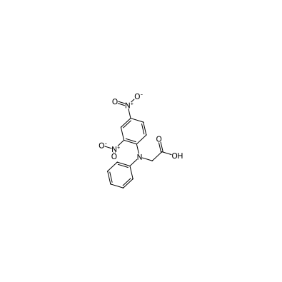 O=C(O)CN(c1ccccc1)c1ccc([N+](=O)[O-])cc1[N+](=O)[O-]